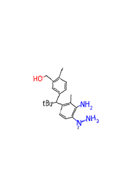 Cc1ccc(C(c2ccc(N(C)N)c(N)c2C)C(C)(C)C)cc1CO